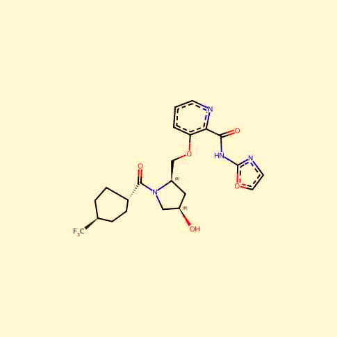 O=C(Nc1ncco1)c1ncccc1OC[C@H]1C[C@@H](O)CN1C(=O)[C@H]1CC[C@H](C(F)(F)F)CC1